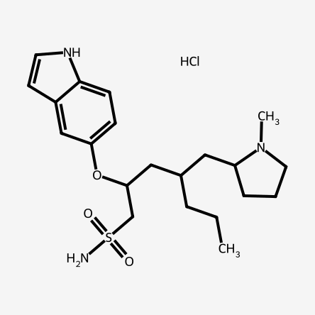 CCCC(CC(CS(N)(=O)=O)Oc1ccc2[nH]ccc2c1)CC1CCCN1C.Cl